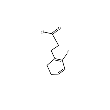 O=C(Cl)CCC1=C(F)C=CCC1